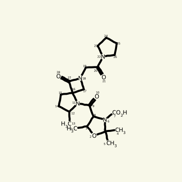 CC1OC(C)(C)N(C(=O)O)C1C(=O)N1C(C)CCC12CN(CC(=O)N1CCCC1)C2=O